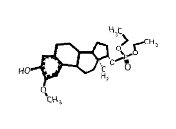 CCOP(=O)(OCC)O[C@H]1CCC2C3CCc4cc(O)c(OC)cc4C3CC[C@@]21C